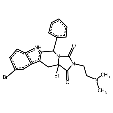 CCC12Cc3c([nH]c4ccc(Br)cc34)C(c3ccccc3)N1C(=O)N(CCN(C)C)C2=O